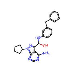 Nc1ncnc2c1c(C(O)Nc1cccc(Cc3ccccc3)c1)nn2C1CCCC1